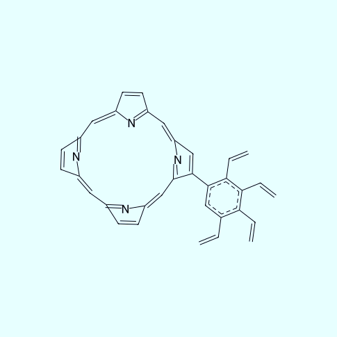 C=Cc1cc(C2=CC3=CC4=NC(=CC5=NC(=CC6=NC(=CC2=N3)C=C6)C=C5)C=C4)c(C=C)c(C=C)c1C=C